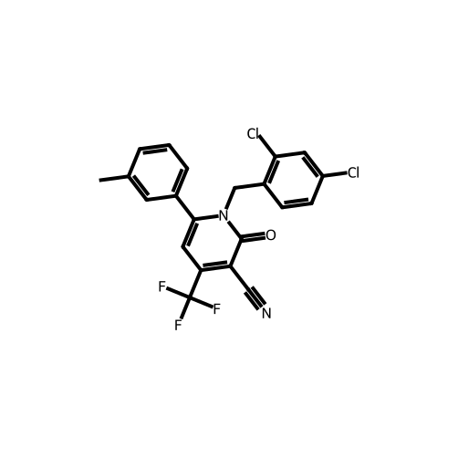 Cc1cccc(-c2cc(C(F)(F)F)c(C#N)c(=O)n2Cc2ccc(Cl)cc2Cl)c1